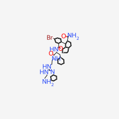 NCCNC(=Nc1ccccc1)NCCNC(=O)C(Cc1ccccc1)NC(=O)c1cc(Br)ccc1-c1c(C(N)=O)ccc2ccccc12